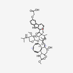 COC(=O)NC1C(=O)C[C@H](O)/C(=C/CS(C)=S)C2=C1C#C/C=C\C#C[C@@H]2OC1OC(C)C(SC)(C(=O)c2nccc3c2[nH]c2ccc(OCC(=O)O)cc23)C(O)C1OC1CC(OC)C(NC(C)C)CO1